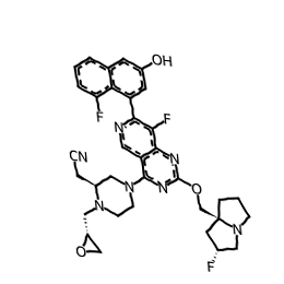 N#CC[C@H]1CN(c2nc(OC[C@@]34CCCN3C[C@H](F)C4)nc3c(F)c(-c4cc(O)cc5cccc(F)c45)ncc23)CCN1C[C@@H]1CO1